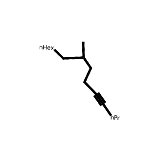 [CH2]CCC#CCCC(C)CCCCCC[CH2]